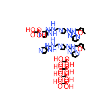 Cc1ccc(Cn2c(NC3CCN(CCNc4nc5cnccc5[nH]4)C3)nc3cccnc32)o1.Cc1ccc(Cn2c(NC3CCN(CCNc4nc5cnccc5[nH]4)C3)nc3cccnc32)o1.O=C(O)C(=O)O.O=C(O)C(=O)O.O=C(O)C(=O)O.O=C(O)C(=O)O.O=C(O)C(=O)O